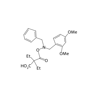 CCC(CC)(C(=O)O)C(=O)ON(Cc1ccccc1)Cc1ccc(OC)cc1OC